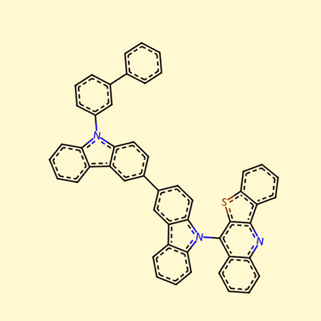 c1ccc(-c2cccc(-n3c4ccccc4c4cc(-c5ccc6c(c5)c5ccccc5n6-c5c6ccccc6nc6c5sc5ccccc56)ccc43)c2)cc1